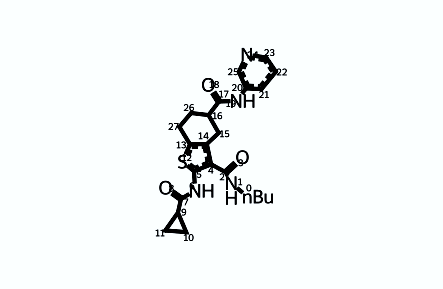 CCCCNC(=O)c1c(NC(=O)C2CC2)sc2c1CC(C(=O)Nc1cccnc1)CC2